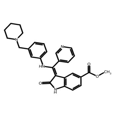 COC(=O)c1ccc2c(c1)/C(=C(/Nc1cccc(CN3CCCCC3)c1)c1cccnc1)C(=O)N2